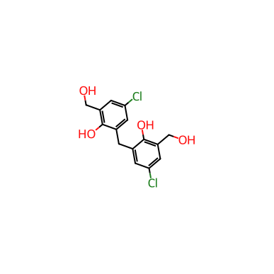 OCc1cc(Cl)cc(Cc2cc(Cl)cc(CO)c2O)c1O